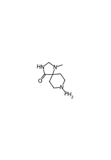 CN1CNC(=O)C12CCN(P)CC2